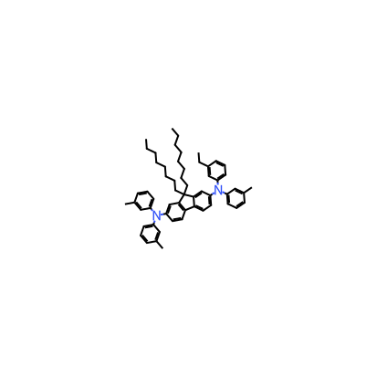 CCCCCCCCC1(CCCCCCCC)c2cc(N(c3cccc(C)c3)c3cccc(C)c3)ccc2-c2ccc(N(c3cccc(C)c3)c3cccc(CC)c3)cc21